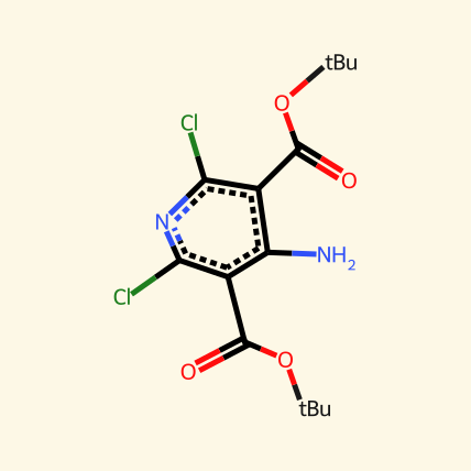 CC(C)(C)OC(=O)c1c(Cl)nc(Cl)c(C(=O)OC(C)(C)C)c1N